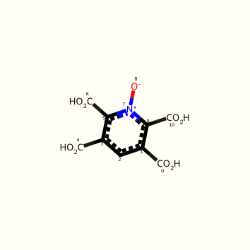 O=C(O)c1cc(C(=O)O)c(C(=O)O)[n+]([O-])c1C(=O)O